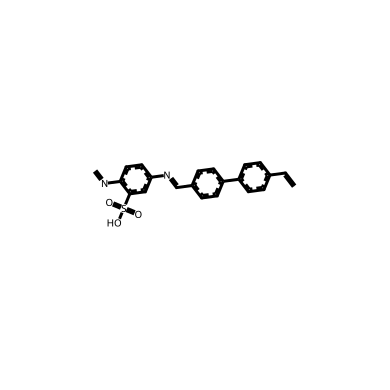 C=Cc1ccc(-c2ccc(C=Nc3ccc(N=C)c(S(=O)(=O)O)c3)cc2)cc1